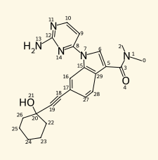 CN(C)C(=O)c1cn(-c2ccnc(N)n2)c2cc(C#CC3(O)CCCCC3)ccc12